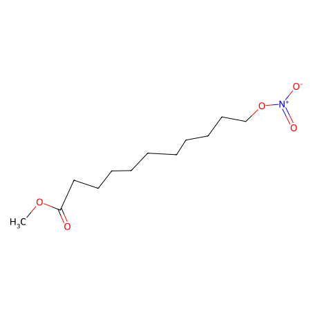 COC(=O)CCCCCCCCCCO[N+](=O)[O-]